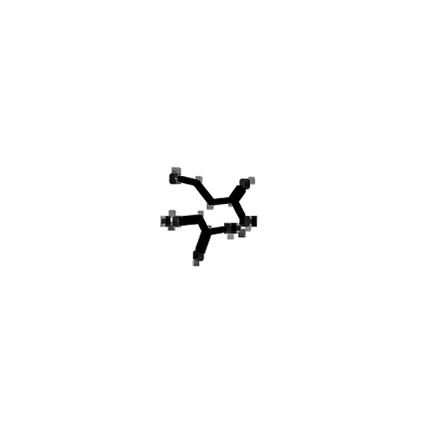 C=CC(N)=O.O=C(O)CCCl